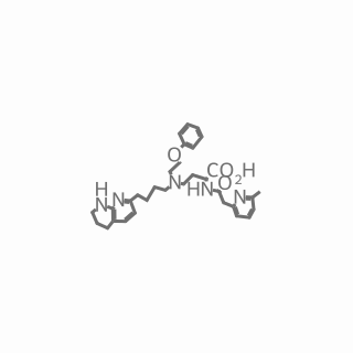 Cc1cccc(CC(=O)NC(CCN(CCCCc2ccc3c(n2)NCCC3)CCOc2ccccc2)C(=O)O)n1